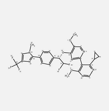 COc1cnc(-c2c(OC)ncnc2C2CC2)nc1O[C@@H](c1ccc(-c2nc(C(F)(F)F)cn2C)cc1)C(F)F